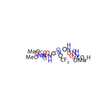 COC(=O)N[C@H](C(=O)N1CCCC1C(=O)Nc1ccc([C@H]2CC[C@H](c3ccc(NC(=O)[C@@H]4CCCN4C(=O)[C@@H](NC(=O)O)[C@H](C)OC)cc3)N2c2ccc(C(F)(F)F)cc2)cc1)[C@H](C)OC